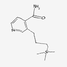 C[Si](C)(C)CCCc1cnccc1C(N)=O